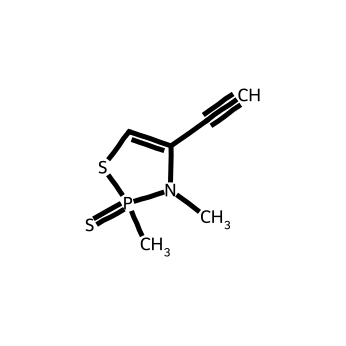 C#CC1=CSP(C)(=S)N1C